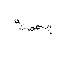 CC(C)(C)OC(=O)N1CCC[C@H]1C(=O)OCC(=O)c1ccc(C23CCC(C(=O)COC(=O)[C@H]4CCCN4C(=O)OCc4ccccc4)(CC2)CC3)cc1